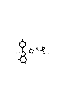 NC(=O)C1(NC(=O)[C@H]2C[C@H](c3c(-c4ccc(F)cc4)[nH]c4c(F)cc(F)cc43)C2)CC1